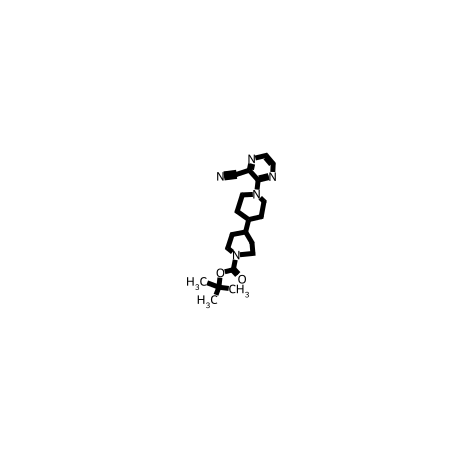 CC(C)(C)OC(=O)N1CCC(C2CCN(c3nccnc3C#N)CC2)CC1